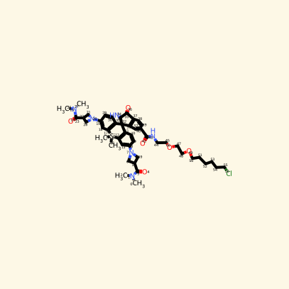 CN(C)C(=O)C1CN(c2ccc3c(c2)[Si](C)(C)c2cc(N4CC(C(=O)N(C)C)C4)ccc2C32C(=N)C(=O)c3ccc(C(=O)NCCOCCOCCCCCCCl)cc32)C1